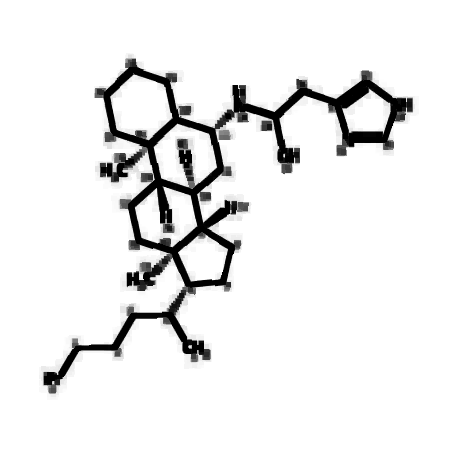 CC(C)CCCC(C)[C@H]1CC[C@H]2[C@@H]3C[C@@H](NC(O)Cc4c[nH]cn4)C4CCCC[C@]4(C)[C@H]3CC[C@]12C